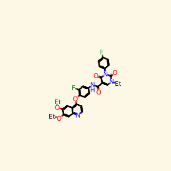 CCOc1cc2nccc(Oc3ccc(NC(=O)c4cn(CC)c(=O)n(-c5ccc(F)cc5)c4=O)cc3F)c2cc1OCC